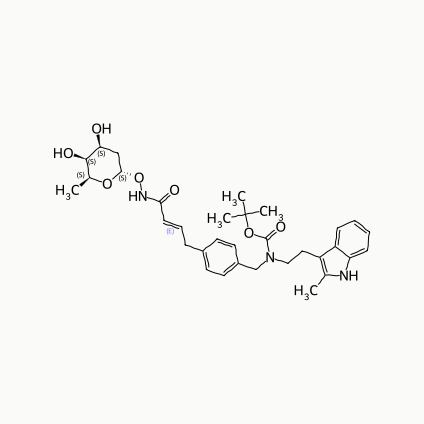 Cc1[nH]c2ccccc2c1CCN(Cc1ccc(C/C=C/C(=O)NO[C@H]2C[C@H](O)[C@H](O)[C@H](C)O2)cc1)C(=O)OC(C)(C)C